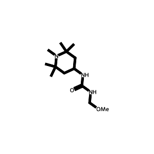 COCNC(=O)NC1CC(C)(C)N(C)C(C)(C)C1